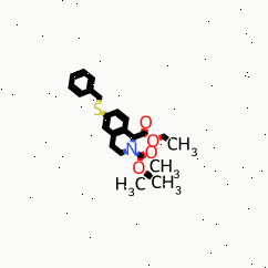 CCOC(=O)C1c2ccc(SCc3ccccc3)cc2CCN1C(=O)OC(C)(C)C